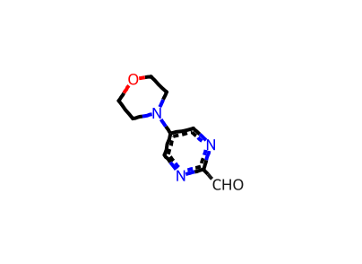 O=Cc1ncc(N2CCOCC2)cn1